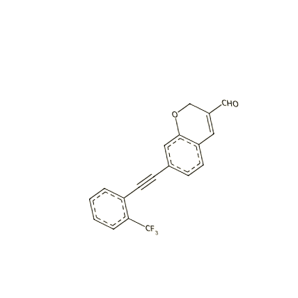 O=CC1=Cc2ccc(C#Cc3ccccc3C(F)(F)F)cc2OC1